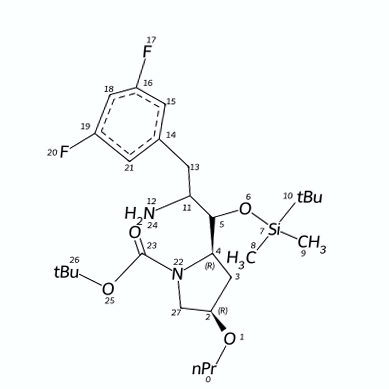 CCCO[C@@H]1C[C@H](C(O[Si](C)(C)C(C)(C)C)C(N)Cc2cc(F)cc(F)c2)N(C(=O)OC(C)(C)C)C1